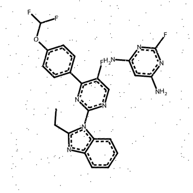 CCc1nc2ccccc2n1-c1ncc(F)c(-c2ccc(OC(F)F)cc2)n1.Nc1cc(N)nc(F)n1